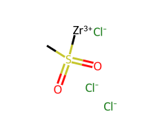 C[S](=O)(=O)[Zr+3].[Cl-].[Cl-].[Cl-]